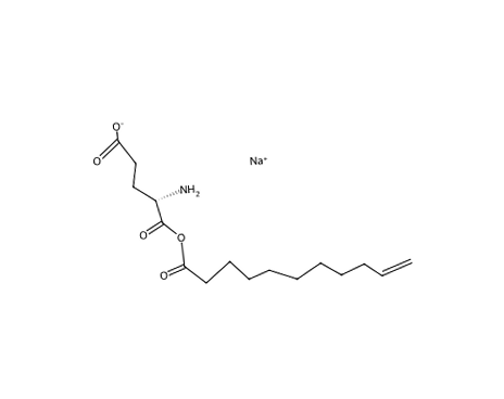 C=CCCCCCCCCC(=O)OC(=O)[C@@H](N)CCC(=O)[O-].[Na+]